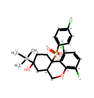 C[Si](C)(C)C1(O)CCC2(S(=O)(=O)c3ccc(Cl)cc3)c3c(F)ccc(F)c3OCC2C1